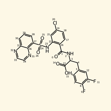 O=C(NC(Cc1ccc(F)c(F)c1)C(=O)O)c1ccc(Cl)cc1NS(=O)(=O)c1cccc2nccnc12